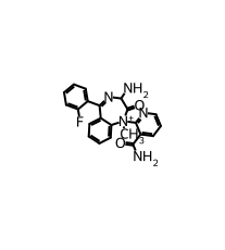 C[N+]1(c2ncccc2C(N)=O)C(=O)C(N)N=C(c2ccccc2F)c2ccccc21